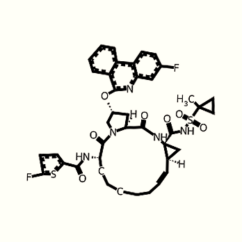 CC1(S(=O)(=O)NC(=O)[C@@]23C[C@H]2/C=C\CCCCC[C@H](NC(=O)c2ccc(F)s2)C(=O)N2C[C@H](Oc4nc5cc(F)ccc5c5ccccc45)C[C@H]2C(=O)N3)CC1